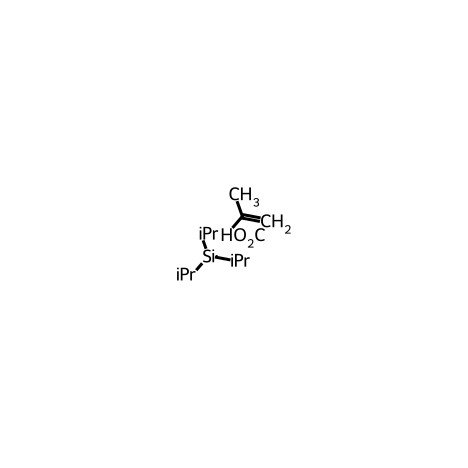 C=C(C)C(=O)O.CC(C)[Si](C(C)C)C(C)C